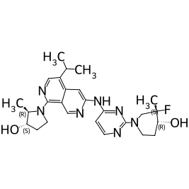 CC(C)c1cnc(N2CC[C@H](O)[C@H]2C)c2cnc(Nc3ccnc(N4CC[C@@H](O)[C@@](C)(F)C4)n3)cc12